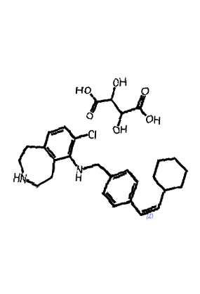 Clc1ccc2c(c1NCc1ccc(/C=C\C3CCCCC3)cc1)CCNCC2.O=C(O)C(O)C(O)C(=O)O